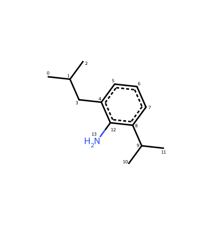 CC(C)Cc1cccc(C(C)C)c1N